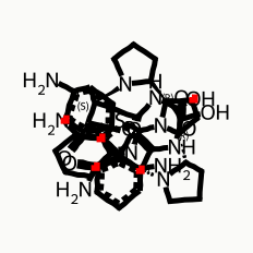 CC1(CC(N)=O)c2ccc(c(N)c2)[C@@]1(C(=O)NC(=O)O)N1CCCC1[C@H]1CC[C@H](C2CCCN2[C@]2(C(=O)NC(=O)O)c3ccc(cc3N)C2(C)CC(N)=O)N1c1nc2c(s1)CCCC2